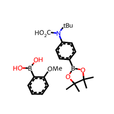 CC(C)(C)N(C(=O)O)c1ccc(B2OC(C)(C)C(C)(C)O2)cc1.COc1ccccc1B(O)O